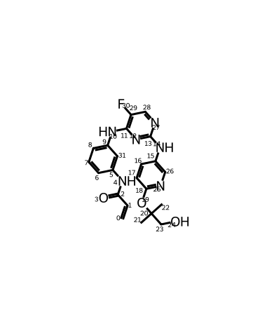 C=CC(=O)Nc1cccc(Nc2nc(Nc3ccc(OC(C)(C)CO)nc3)ncc2F)c1